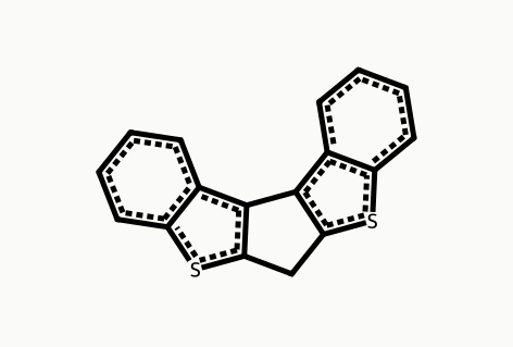 c1ccc2c3c(sc2c1)Cc1sc2ccccc2c1-3